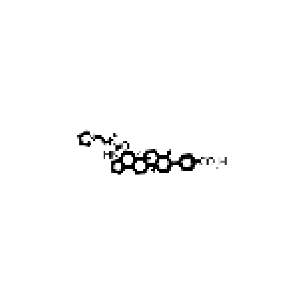 CC1C(c2ccc(C(=O)O)cc2)=CCC2(C)C1CCC1(C)C2CCC2C3CCCC3(NC(=O)N(C)CCN3CCCC3)CC[C@]21C